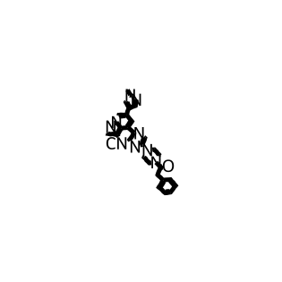 Cn1cc(-c2cc(-c3cnc(N4CCN(C(=O)Cc5ccccc5)CC4)cn3)c3c(C#N)cnn3c2)cn1